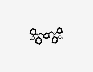 COc1ccccc1P(Cc1cccc(CP(c2ccccc2)c2ccccc2OC)c1)c1ccccc1